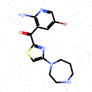 Nc1ncc(Br)cc1C(=O)c1nc(N2CCCNCC2)cs1